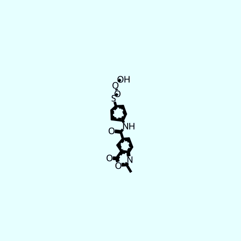 Cc1nc2ccc(C(=O)Nc3ccc(SOOO)cc3)cc2c(=O)o1